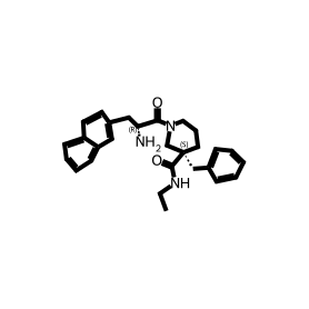 CCNC(=O)[C@]1(Cc2ccccc2)CCCN(C(=O)[C@H](N)Cc2ccc3ccccc3c2)C1